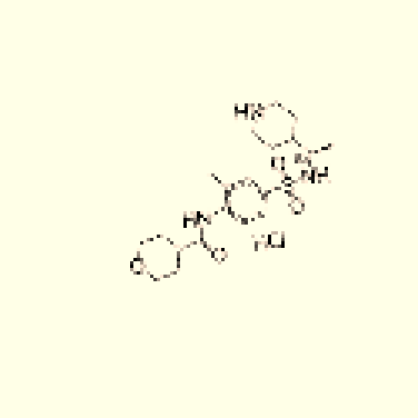 Cc1cc(S(=O)(=O)N[C@H](C)C2CCNCC2)ccc1NC(=O)C1CCOCC1.Cl